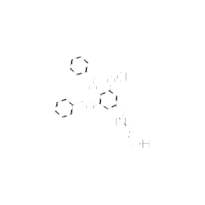 COc1cc(CNCCO)cc(OCc2ccccc2)c1OCc1ccccc1